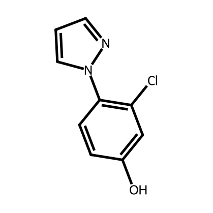 Oc1ccc(-n2cccn2)c(Cl)c1